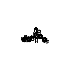 CC(C)(C)OC(=O)Nc1ccc(-c2ccc(F)cc2)cc1NC(=O)c1cc2cc([SH]3(=O)CCCN3)ccc2o1